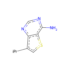 CC(C)c1csc2c(N)ncnc12